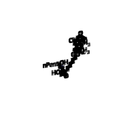 CCCCCC(O)/C=C/C1C(O)CC(=O)[C@@H]1CCCCCCCC(=O)OC1(C(C)=O)CCC2C3C=C(Cl)C4=CC(=O)C5C[C@@H]5C4(C)C3CCC21C